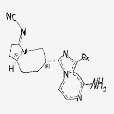 N#CN=C1CC[C@@H]2CC[C@@H](c3nc(Br)c4c(N)nccn34)CN12